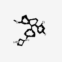 COc1ccc2c(c1)C(c1ccc(NC3CCNC3)cc1)=C(c1ccc(F)cc1Cl)CC2